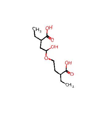 CCC(CCOC(O)CC(CC)C(=O)O)C(=O)O